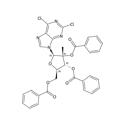 C[C@@]1(OC(=O)c2ccccc2)[C@H](OC(=O)c2ccccc2)[C@@H](COC(=O)c2ccccc2)O[C@H]1n1cnc2c(Cl)nc(Cl)nc21